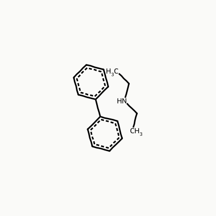 CCNCC.c1ccc(-c2ccccc2)cc1